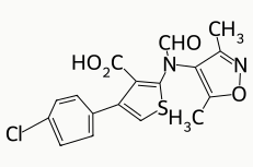 Cc1noc(C)c1N(C=O)c1scc(-c2ccc(Cl)cc2)c1C(=O)O